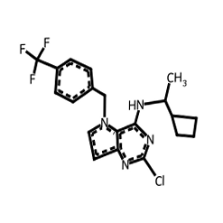 CC(Nc1nc(Cl)nc2ccn(Cc3ccc(C(F)(F)F)cc3)c12)C1CCC1